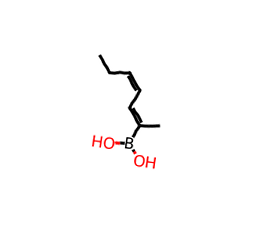 CC/C=C\C=C(/C)B(O)O